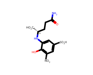 NC(=O)CC[C@H](Nc1cc(S(=O)(=O)O)cc([N+](=O)[O-])c1O)C(=O)O